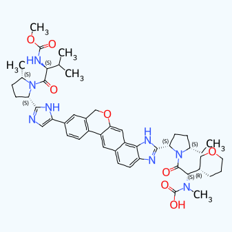 CC[C@H]1CC[C@@H](c2nc3ccc4cc5c(cc4c3[nH]2)OCc2cc(-c3cnc([C@@H]4CC[C@H](C)N4C(=O)[C@@H](NC(=O)OC)C(C)C)[nH]3)ccc2-5)N1C(=O)[C@H]([C@H]1CCCOC1)N(C)C(=O)O